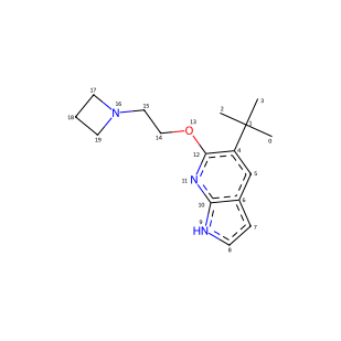 CC(C)(C)c1cc2cc[nH]c2nc1OCCN1CCC1